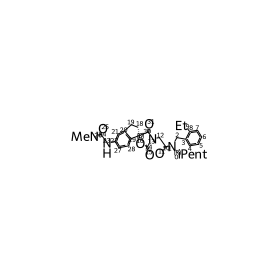 CCC[C@@H](C)N(Cc1ccccc1CC)C(=O)CN1C(=O)O[C@]2(CCc3cc(NC(=O)NC)ccc32)C1=O